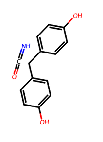 N=C=O.Oc1ccc(Cc2ccc(O)cc2)cc1